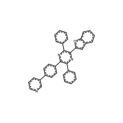 c1ccc(-c2nc(-c3cc4ccccc4o3)c(-c3ccccc3)nc2-c2ccc(-c3cccnc3)cc2)cc1